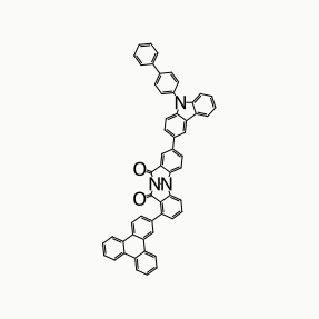 O=c1c2cc(-c3ccc4c(c3)c3ccccc3n4-c3ccc(-c4ccccc4)cc3)ccc2n2c3cccc(-c4ccc5c6ccccc6c6ccccc6c5c4)c3c(=O)n12